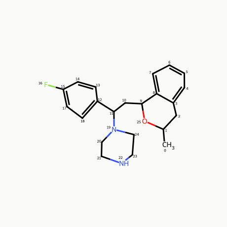 CC1Cc2ccccc2C(CC(c2ccc(F)cc2)N2CCNCC2)O1